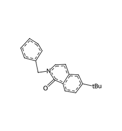 CC(C)(C)c1ccc2c(=O)n(Cc3ccccc3)ccc2c1